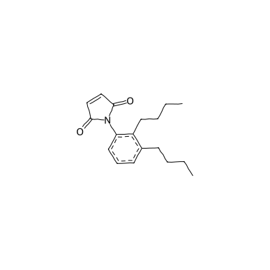 CCCCc1cccc(N2C(=O)C=CC2=O)c1CCCC